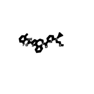 COCCN(c1cccc(C(=O)N2CCc3cc(C(=O)Nc4c(C)cccc4F)sc3-c3ccccc32)n1)C1CC1